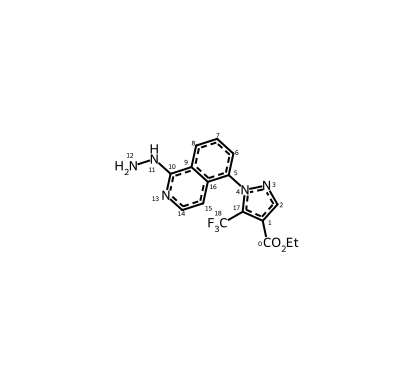 CCOC(=O)c1cnn(-c2cccc3c(NN)nccc23)c1C(F)(F)F